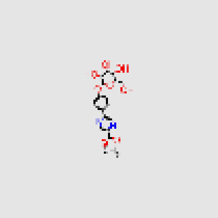 COC(=O)c1cnc(-c2ccc(O[C@@H]3O[C@H](CO)[C@@H](O)[C@H](O)[C@@H]3O)cc2)cn1